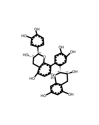 Oc1cc(O)c2c(c1)O[C@H](c1cc(O)c(O)cc1-c1c(O)cc(O)c3c1O[C@H](c1ccc(O)c(O)c1)[C@@H](O)C3)[C@@H](O)C2